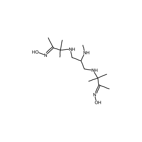 CNC(CNC(C)(C)/C(C)=N/O)CNC(C)(C)/C(C)=N/O